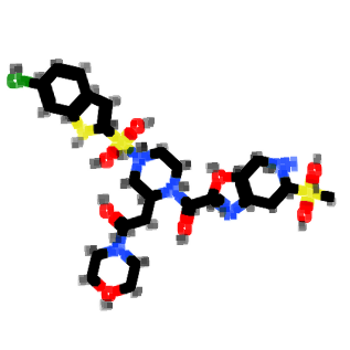 CS(=O)(=O)C1Cc2nc(C(=O)N3CCN(S(=O)(=O)c4cc5ccc(Cl)cc5s4)CC3CC(=O)N3CCOCC3)oc2CN1